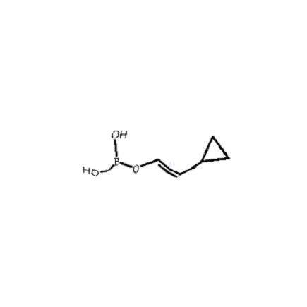 OB(O)O/C=C/C1CC1